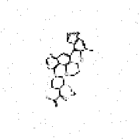 C=C(F)C(=O)N1CCN(c2ncnc3cc(-c4c(Cl)c(C)cc5[nH]ncc45)c4c(c23)OCCC4)C[C@@H]1CC#N